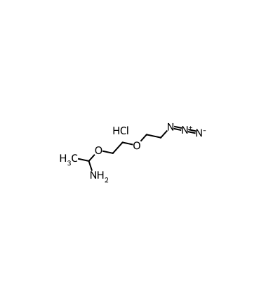 CC(N)OCCOCCN=[N+]=[N-].Cl